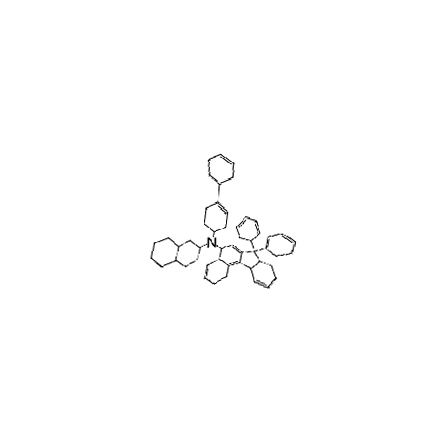 C1=CCCC(C2(C3C=CC=CC3)C3=CC(N(C4CC=C(C5CC=CCC5)CC4)C4CCC5CCCCC5C4)C4C=CCCC4=C3C3C=CCCC32)=C1